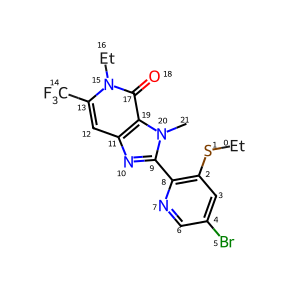 CCSc1cc(Br)cnc1-c1nc2cc(C(F)(F)F)n(CC)c(=O)c2n1C